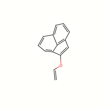 C=COC1=Cc2cccc3cccc1c23